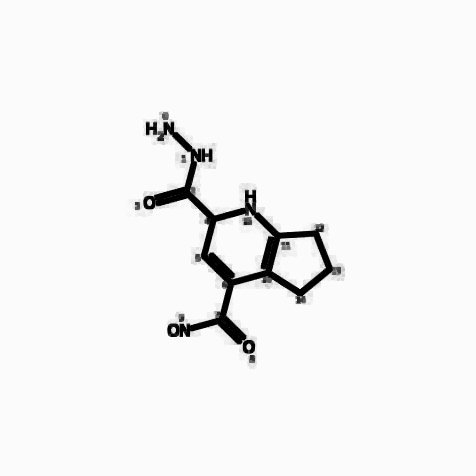 NNC(=O)C1C=C(C(=O)N=O)C2=C(CCC2)N1